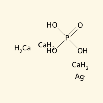 O=P(O)(O)O.[Ag].[CaH2].[CaH2].[CaH2]